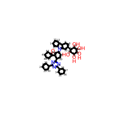 Oc1c(O)c(O)c(-c2ccc3c4ccccc4n(-c4ccc(-c5nc(-c6ccccc6)nc(-c6ccccc6)n5)c5c4oc4ccccc45)c3c2)c(O)c1O